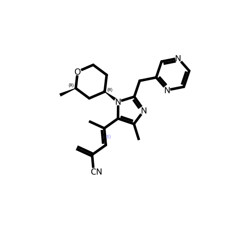 C=C(C#N)/C=C(\C)c1c(C)nc(Cc2cnccn2)n1[C@@H]1CCO[C@H](C)C1